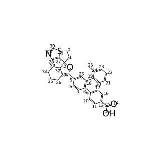 CCC(OCc1ccc(-c2ccc(C(=O)O)cc2)c(-c2ccccc2C)c1)(c1cncs1)C1CCCCC1